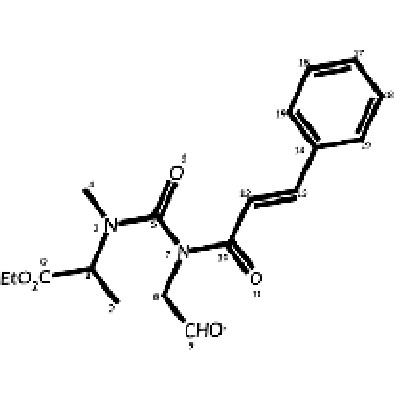 CCOC(=O)C(C)N(C)C(=O)N(C[C]=O)C(=O)/C=C/c1ccccc1